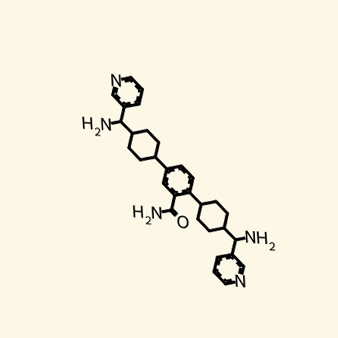 NC(=O)c1cc(C2CCC(C(N)c3cccnc3)CC2)ccc1C1CCC(C(N)c2cccnc2)CC1